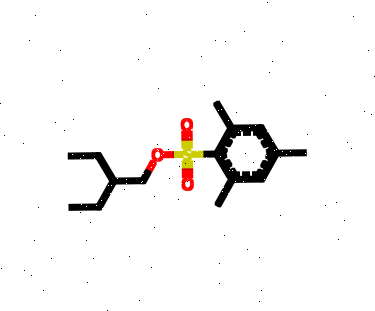 CCC(CC)COS(=O)(=O)c1c(C)cc(C)cc1C